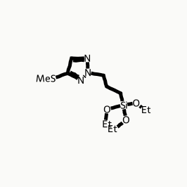 CCO[Si](CCCn1ncc(SC)n1)(OCC)OCC